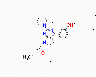 CCCC(=O)CN1CCc2c(-c3cccc(O)c3)nc(N3CCCCC3)nc21